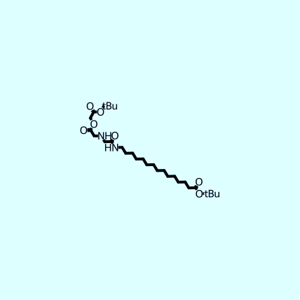 CC(C)(C)OC(=O)CCCCCCCCCCCCCCNC(=O)CNCC(=O)OCC(=O)OC(C)(C)C